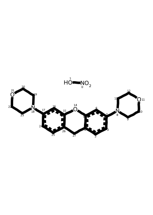 O=[N+]([O-])O.c1cc2c(cc1N1CCOCC1)Oc1cc(N3CCOCC3)ccc1C2